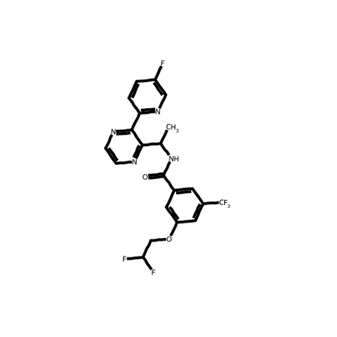 CC(NC(=O)c1cc(OCC(F)F)cc(C(F)(F)F)c1)c1nccnc1-c1ccc(F)cn1